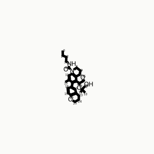 CCCCNC(=O)N1CCCc2c1cc(C)c(-c1ccc3c(c1)CCCO3)c2C(OC(C)(C)C)C(=O)O